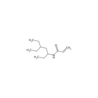 C=CC(=O)NC(CC)CC(CC)CC